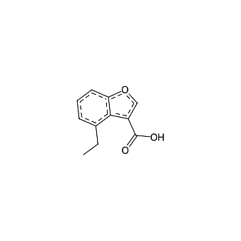 CCc1cccc2occ(C(=O)O)c12